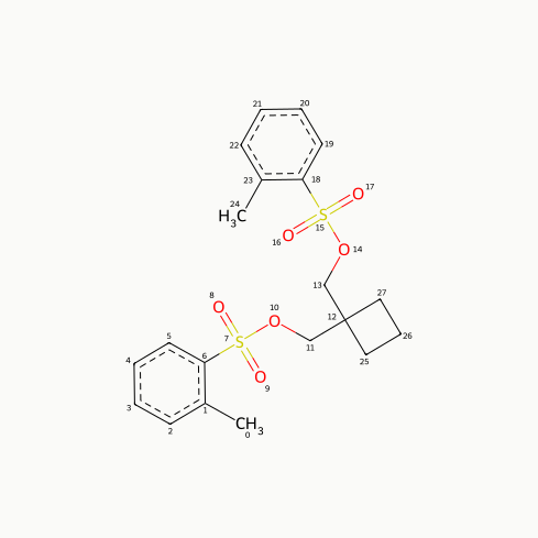 Cc1ccccc1S(=O)(=O)OCC1(COS(=O)(=O)c2ccccc2C)CCC1